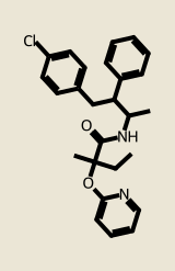 CCC(C)(Oc1ccccn1)C(=O)NC(C)C(Cc1ccc(Cl)cc1)c1ccccc1